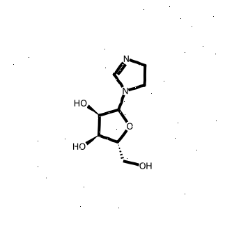 OC[C@H]1OC(N2C=NCC2)[C@H](O)[C@@H]1O